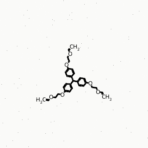 C=COCCOc1ccc(C(c2ccc(OCCOC=C)cc2)c2ccc(OCCOC=C)cc2)cc1